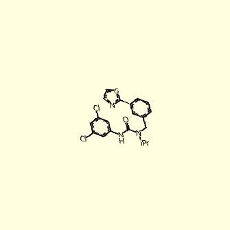 CC(C)N(Cc1cccc(-c2nccs2)c1)C(=O)Nc1cc(Cl)cc(Cl)c1